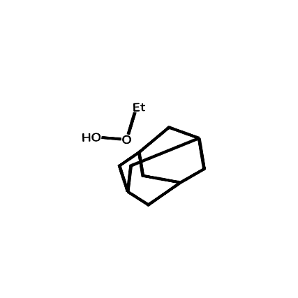 C1C2CC3CC1CC(C2)C3.CCOO